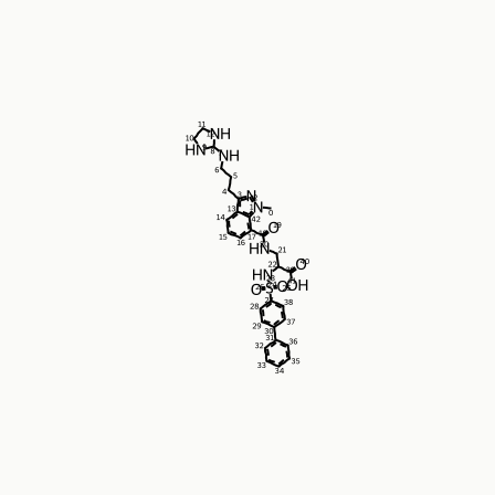 Cn1nc(CCCNC2NCCN2)c2cccc(C(=O)NCC(NS(=O)(=O)c3ccc(-c4ccccc4)cc3)C(=O)O)c21